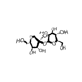 OC[C@@H]1OC[C@@](O)(OC2O[C@H](CO)[C@@H](O)[C@H](O)[C@H]2O)[C@H](O)[C@H]1O